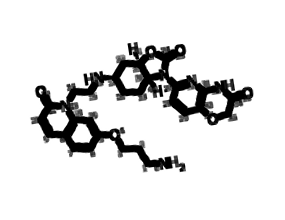 NCCCOc1ccc2ccc(=O)n(CCN[C@@H]3CC[C@@H]4[C@@H](C3)OC(=O)N4c3ccc4c(n3)NC(=O)CO4)c2c1